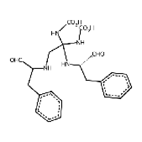 O=CC(Cc1ccccc1)NCC(NC(=O)O)(NC(=O)O)N[C@H](C=O)Cc1ccccc1